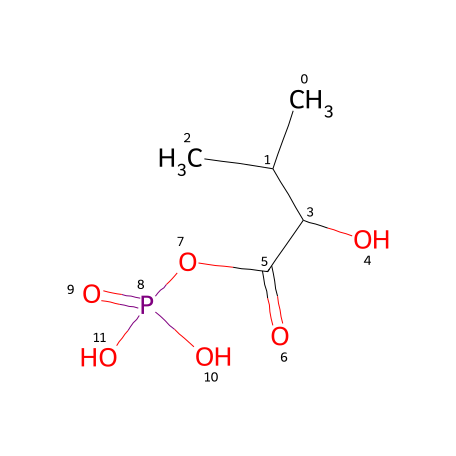 CC(C)C(O)C(=O)OP(=O)(O)O